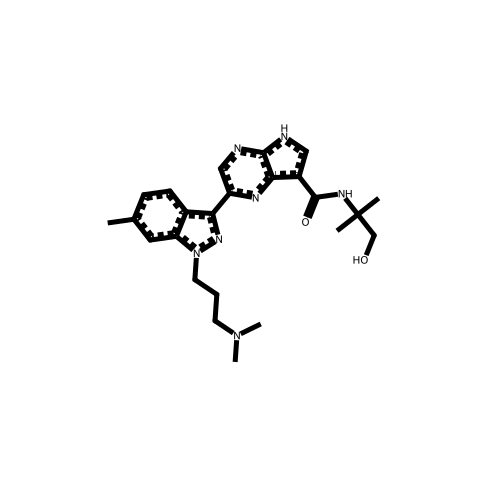 Cc1ccc2c(-c3cnc4[nH]cc(C(=O)NC(C)(C)CO)c4n3)nn(CCCN(C)C)c2c1